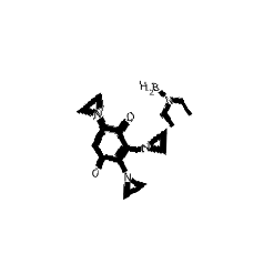 BN(CC)CC.O=C1C=C(N2CC2)C(=O)C(N2CC2)=C1N1CC1